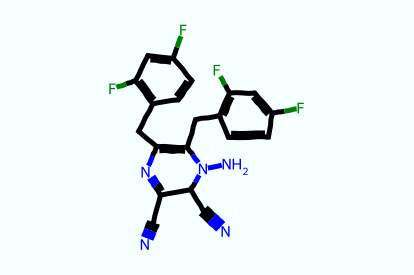 N#CC1=NC(Cc2ccc(F)cc2F)=C(Cc2ccc(F)cc2F)N(N)C1C#N